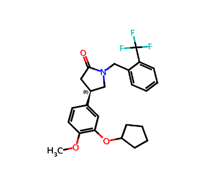 COc1ccc([C@H]2CC(=O)N(Cc3ccccc3C(F)(F)F)C2)cc1OC1CCCC1